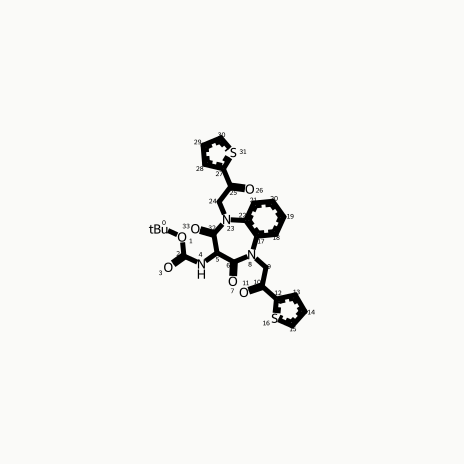 CC(C)(C)OC(=O)NC1C(=O)N(CC(=O)c2cccs2)c2ccccc2N(CC(=O)c2cccs2)C1=O